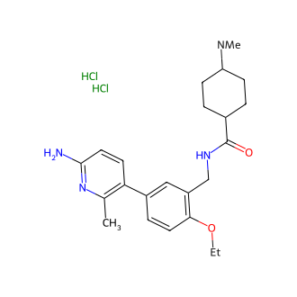 CCOc1ccc(-c2ccc(N)nc2C)cc1CNC(=O)C1CCC(NC)CC1.Cl.Cl